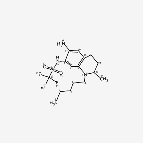 CCCCCN1c2cc(NS(=O)(=O)C(F)(F)F)c(N)cc2CCC1C